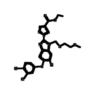 CCOC(=O)c1cnn(-c2nc3cc(Sc4ccc(Cl)c(Cl)c4)c(Cl)cc3n2COCCOC)c1